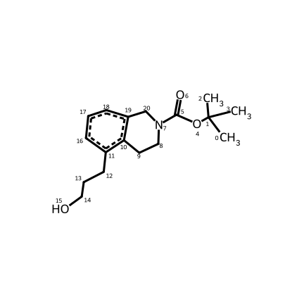 CC(C)(C)OC(=O)N1CCc2c(CCCO)cccc2C1